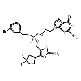 C=C1OC(COP(=O)(COCCn2cnc3c(=O)[nH]c(N)nc32)OCc2cccc(Br)c2)=C(C2CCC(F)(F)C2)O1